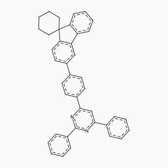 c1ccc(-c2cc(-c3ccc(-c4ccc5c(c4)-c4ccccc4C54CCCCC4)cc3)nc(-c3ccccc3)n2)cc1